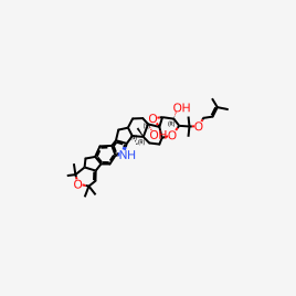 CC(C)=CCOC(C)(C)C1OC2CC[C@]3(C)[C@@]4(C)c5[nH]c6cc7c(cc6c5CC4CC[C@@]3(O)C23OC3[C@@H]1O)CC1C7=CC(C)(C)OC1(C)C